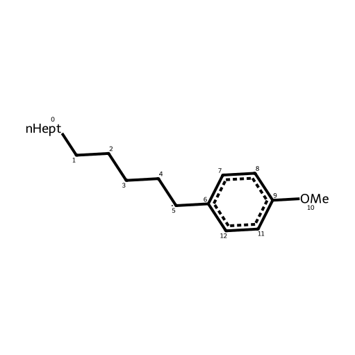 CCCCCCCCCCC[CH]c1ccc(OC)cc1